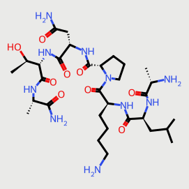 CC(C)C[C@H](NC(=O)[C@H](C)N)C(=O)N[C@@H](CCCCN)C(=O)N1CCC[C@H]1C(=O)N[C@@H](CC(N)=O)C(=O)N[C@H](C(=O)N[C@@H](C)C(N)=O)[C@@H](C)O